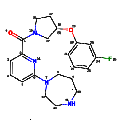 O=C(c1cccc(N2CCCNCC2)n1)N1CC[C@H](Oc2cccc(F)c2)C1